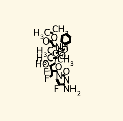 CC(C)OC(=O)[C@H](C)N[P@@](=O)(Oc1ccccc1)OC(C)(C)[C@H]1O[C@@H](n2cc(F)c(N)nc2=O)[C@@](F)(CF)C1O